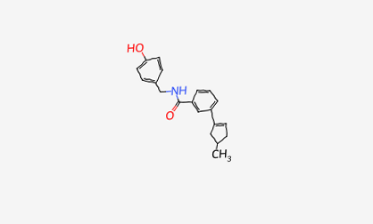 CC1CC=C(c2cccc(C(=O)NCc3ccc(O)cc3)c2)C1